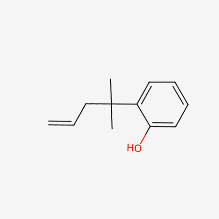 C=CCC(C)(C)c1ccccc1O